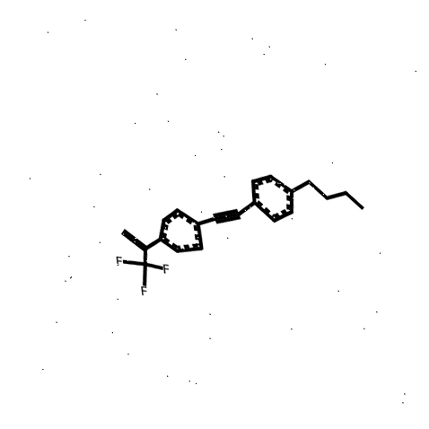 C=C(c1ccc(C#Cc2ccc(CCCC)cc2)cc1)C(F)(F)F